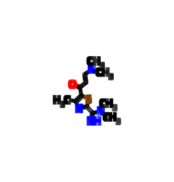 Cc1nc(C(=N)N(C)C)sc1C(=O)/C=C/N(C)C